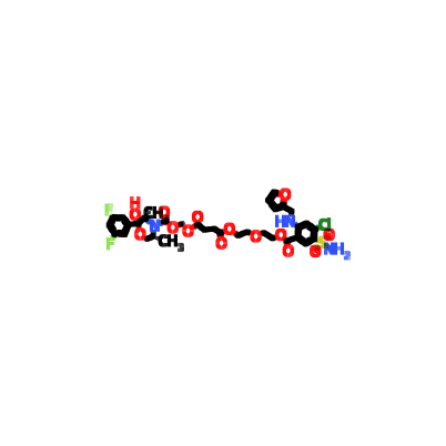 C[C@@H]1CO[C@@](O)(c2cc(F)cc(F)c2)[C@H](C)N1C(=O)OCOC(=O)CCC(=O)OCCOCCOC(=O)c1cc(S(N)(=O)=O)c(Cl)cc1NCc1ccco1